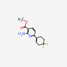 COC(=O)c1ccc(C2=CCC(F)(F)CC2)nc1N